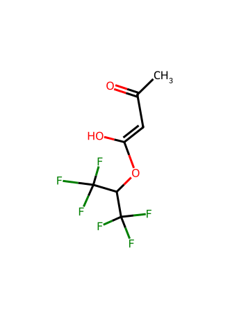 CC(=O)/C=C(\O)OC(C(F)(F)F)C(F)(F)F